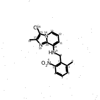 Cc1cccc([N+](=O)[O-])c1CNc1cccn2c(Cl)c(C)nc12